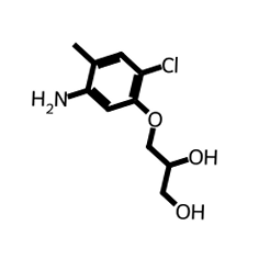 Cc1cc(Cl)c(OCC(O)CO)cc1N